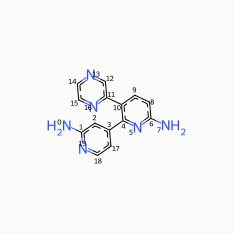 Nc1cc(-c2nc(N)ccc2-c2cnccn2)ccn1